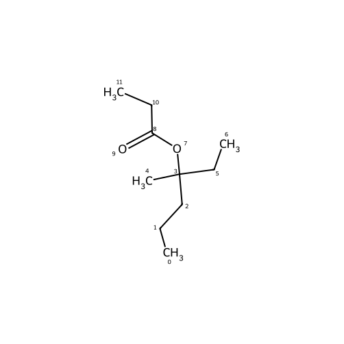 CCCC(C)(CC)OC(=O)CC